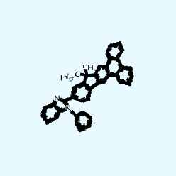 CC1(C)c2cc(-c3nc4ccccc4n3-c3ccccc3)ccc2-c2cc3c4ccccc4c4ccccc4c3cc21